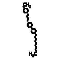 C=C[C@H]1CC[C@H](C=CCC[C@H]2CC[C@H]([C@H]3CC[C@H](CCCCCCCCCC)CC3)CC2)CC1